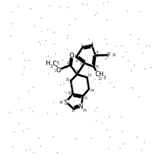 COC(=O)C1(c2cccc(F)c2C)CCc2ncsc2C1